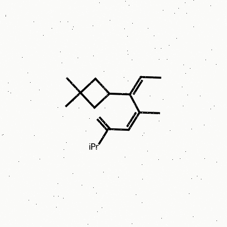 C=C(/C=C(C)\C(=C/C)C1CC(C)(C)C1)C(C)C